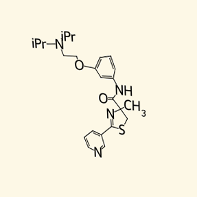 CC(C)N(CCOc1cccc(NC(=O)C2(C)CSC(c3cccnc3)=N2)c1)C(C)C